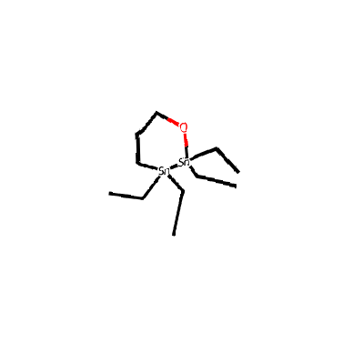 C[CH2][Sn]1([CH2]C)[CH2]CC[O][Sn]1([CH2]C)[CH2]C